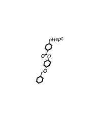 CCCCCCCc1ccc(C(=O)Oc2ccc(OCc3ccccc3)cc2)cc1